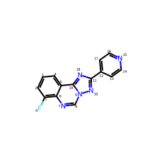 Fc1cccc2c1ncn1nc(-c3ccncc3)nc21